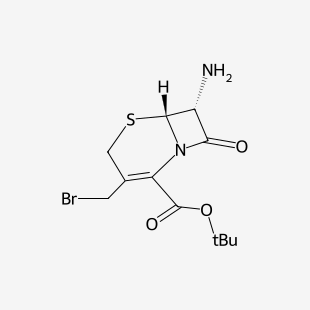 CC(C)(C)OC(=O)C1=C(CBr)CS[C@@H]2[C@H](N)C(=O)N12